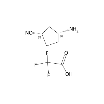 N#C[C@H]1CC[C@@H](N)C1.O=C(O)C(F)(F)F